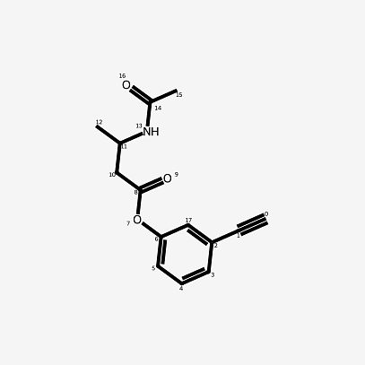 C#Cc1cccc(OC(=O)CC(C)NC(C)=O)c1